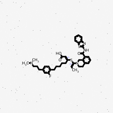 C/C=C(/S/C(=C/C(=O)O)CCCCCc1ccc(CCCN(C)C)cc1F)N1CCc2cccc(C(=O)Nc3nc4ccccc4s3)c2C1